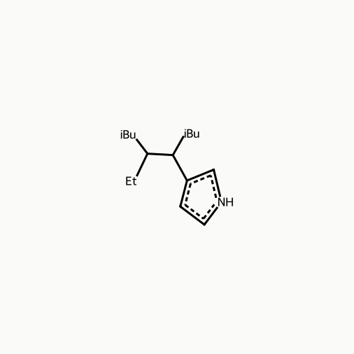 CCC(C)C(CC)C(c1cc[nH]c1)C(C)CC